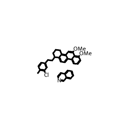 COc1cccc2c1c(OC)cc1c3c(ccc12)C(CCc1ccc(C)c(Cl)c1)CCC3.c1ccc2cnccc2c1